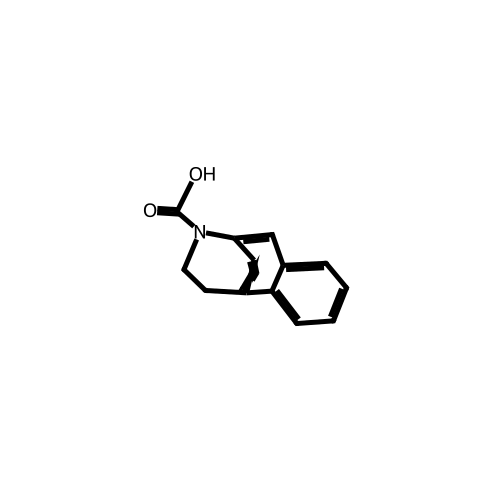 O=C(O)N1CCC23CC=CC=C2C1=Cc1ccccc13